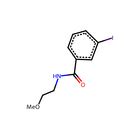 COCCNC(=O)c1cccc(I)c1